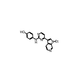 CCn1cc(-c2ccnc(Nc3ccc(O)cc3)n2)c2ccncc21